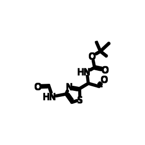 CC(C)(C)OC(=O)NC([C]=O)c1nc(NC=O)cs1